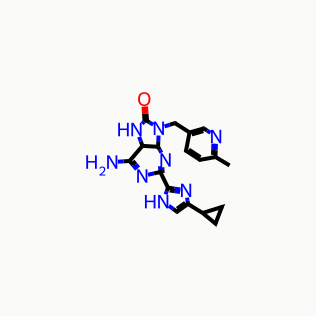 Cc1ccc(CN2C(=O)NC3C(N)=NC(c4nc(C5CC5)c[nH]4)=NC32)cn1